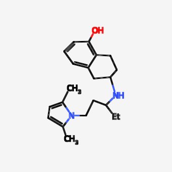 CCC(CCn1c(C)ccc1C)NC1CCc2c(O)cccc2C1